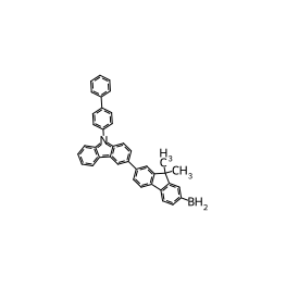 Bc1ccc2c(c1)C(C)(C)c1cc(-c3ccc4c(c3)c3ccccc3n4-c3ccc(-c4ccccc4)cc3)ccc1-2